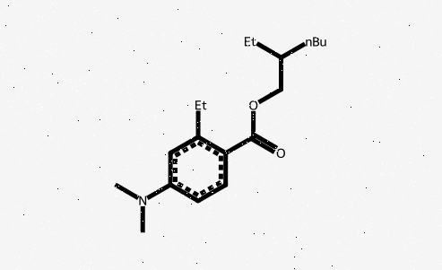 CCCCC(CC)COC(=O)c1ccc(N(C)C)cc1CC